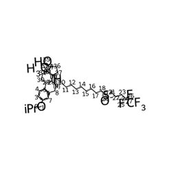 CC(C)Oc1ccc2c(c1)C[C@@H](CCCCCCCCC[S+]([O-])CCCC(F)(F)C(F)(F)F)C1C2CC[C@]2(C)[C@@H](O)CC[C@@H]12